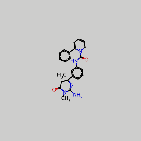 CN1C(=O)C[C@@](C)(c2cccc(NC(=O)N3CC=CC=C3c3ccccc3)c2)N=C1N